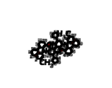 Cc1cccc(N(c2c(C)cccc2-c2ccccc2)c2cc(C3CCCC3)c3ccc4c(N(c5cccc(C)c5)c5c(C)cccc5-c5ccccc5)cc(C5CCCC5)c5ccc2c3c54)c1